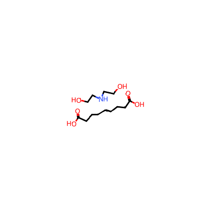 O=C(O)CCCCCCCC(=O)O.OCCNCCO